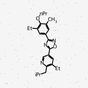 CCCOc1c(C)cc(-c2noc(-c3cnc(CC(C)C)c(CC)c3)n2)cc1CC